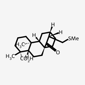 CSC[C@@H]1C(=O)[C@]23CC[C@H]1C[C@H]2[C@]1(C)CCC[C@@](C)(C(=O)O)[C@H]1CC3